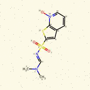 CN(C)C=NS(=O)(=O)c1cc2ccc[n+]([O-])c2s1